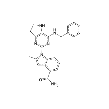 Cc1cc2c(C(N)=O)cccc2n1-c1nc2c(c(NCc3ccccc3)n1)NCC2